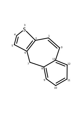 C1=Cc2sccc2Cc2ccccc21